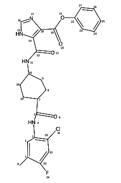 Cc1cc(NC(=O)C2CCC(NC(=O)c3[nH]cnc3C(=O)Oc3ccccc3)CC2)c(Cl)cc1F